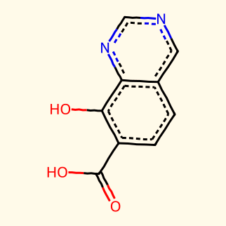 O=C(O)c1ccc2cncnc2c1O